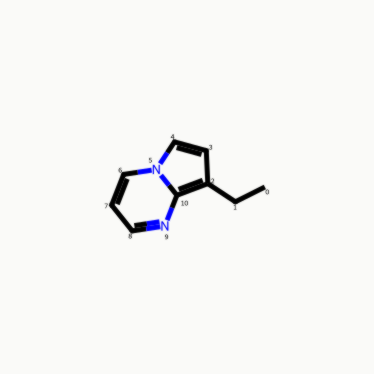 CCc1ccn2cccnc12